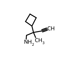 C#CC(C)(CN)C1CCC1